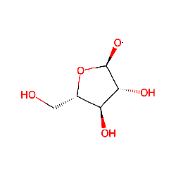 [O][C@@H]1O[C@@H](CO)[C@H](O)[C@H]1O